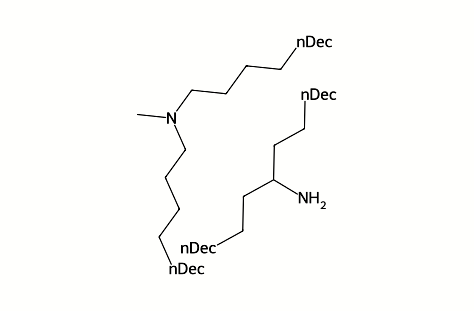 CCCCCCCCCCCCC(N)CCCCCCCCCCCC.CCCCCCCCCCCCCCN(C)CCCCCCCCCCCCCC